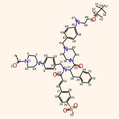 CC(=O)N1CCN(c2ccc(CN(C(=O)C=Cc3ccc(S(C)(=O)=O)cc3)C(Cc3ccccc3)C(=O)N3CCN(Cc4ccc(N(C)CCO[Si](C)(C)C(C)(C)C)cc4)CC3)cc2)CC1